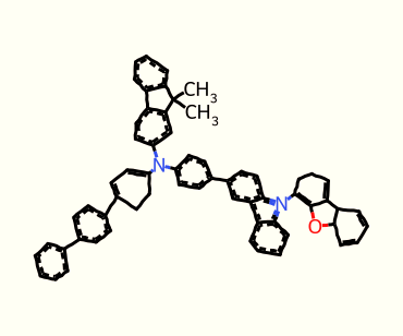 CC1(C)c2ccccc2-c2ccc(N(C3=CC=C(c4ccc(-c5ccccc5)cc4)CC3)c3ccc(-c4ccc5c(c4)c4ccccc4n5C4=C5OC6C=CC=CC6C5=CCC4)cc3)cc21